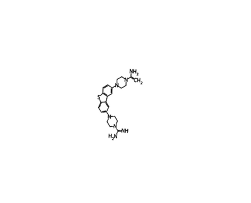 C=C(N)N1CCN(c2ccc3sc4ccc(N5CCN(C(=N)N)CC5)cc4c3c2)CC1